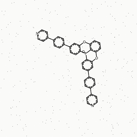 O=P12c3ccc(-c4ccc(-c5ccncc5)cc4)cc3Oc3cccc(c31)Oc1cc(-c3ccc(-c4ccncc4)cc3)ccc12